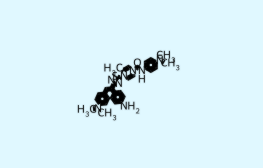 CC1CN(C(=O)Nc2ccc(N(C)C)cc2)CCN1c1nc(C(Cc2ccc(N(C)C)cc2)c2ccc(N)cc2)ns1